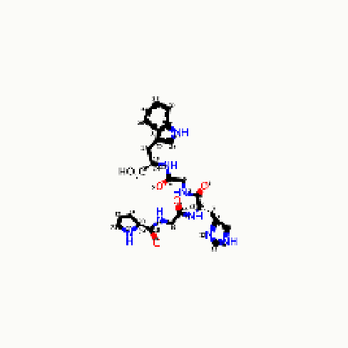 O=C(CNC(=O)[C@H](Cc1c[nH]cn1)NC(=O)CNC(=O)[C@@H]1CCCN1)N[C@@H](Cc1c[nH]c2ccccc12)C(=O)O